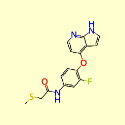 CSCC(=O)Nc1ccc(Oc2ccnc3[nH]ccc23)c(F)c1